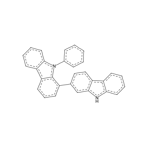 c1ccc(-n2c3ccccc3c3cccc(-c4ccc5c(c4)[nH]c4ccccc45)c32)cc1